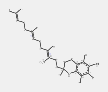 CC(C)=CCC/C(C)=C/CC/C(C)=C(/CCC1(C)CCc2c(C)c(O)c(C)c(C)c2O1)[N+](=O)[O-]